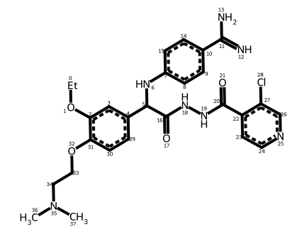 CCOc1cc(C(Nc2ccc(C(=N)N)cc2)C(=O)NNC(=O)c2ccncc2Cl)ccc1OCCN(C)C